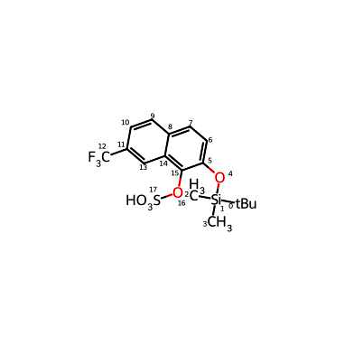 CC(C)(C)[Si](C)(C)Oc1ccc2ccc(C(F)(F)F)cc2c1OS(=O)(=O)O